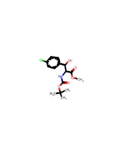 COC(=O)C(NC(=O)OC(C)(C)C)C(O)c1ccc(Cl)cc1